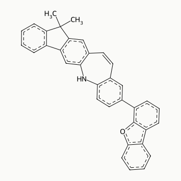 CC1(C)c2ccccc2-c2cc3c(cc21)C=Cc1cc(-c2cccc4c2oc2ccccc24)ccc1N3